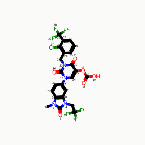 Cn1c(=O)n(CC(F)(F)F)c2cc(-n3cc(OC(=O)O)c(=O)n(Cc4cccc(C(F)(F)F)c4Cl)c3=O)ccc21